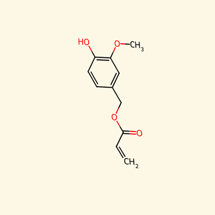 C=CC(=O)OCc1ccc(O)c(OC)c1